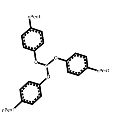 CCCCCc1ccc(OP(Oc2ccc(CCCCC)cc2)Oc2ccc(CCCCC)cc2)cc1